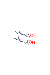 C=C/C(C)=C/CCC(C)(C)O.CC/C(C)=C/C=C/C(C)(C)O